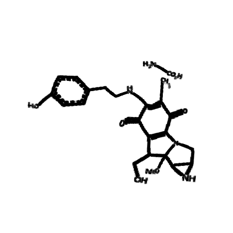 COC12C(CO)C3=C(C(=O)C(C)=C(NCCc4ccc(O)cc4)C3=O)N1CC1NC12.NC(=O)O